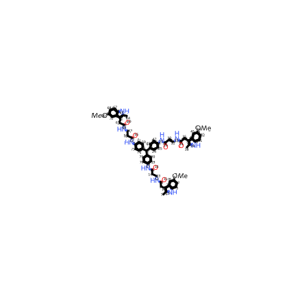 COc1ccc2[nH]c(C)c(CC(=O)NCCC(=O)Nc3ccc(C(c4ccc(NC(=O)CCNC(=O)Cc5c(C)[nH]c6ccc(OC)cc56)cc4)c4ccc(NC(=O)CCNC(=O)Cc5c(C)[nH]c6ccc(OC)cc56)cc4)cc3)c2c1